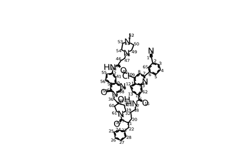 N#Cc1cccc(-c2cc(Cl)c3ccc(C(=O)NCCCC(Cc4ccccc4)C(=O)N4CCC(O)(Cn5cnc6cc(NC(=O)CCN7CCN(I)CC7)ccc6c5=O)CC4)cc3n2)c1